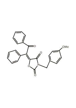 COc1ccc(CN2C(=O)OC(=C(C(=O)c3ccccc3)c3ccccc3)C2=O)cc1